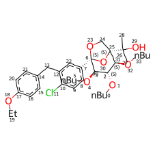 CCCCO[C@@H]1[C@@H](OCCCC)[C@@]2(c3ccc(Cl)c(Cc4ccc(OCC)cc4)c3)OC[C@](C(C)(C)O)(O2)[C@H]1OCCCC